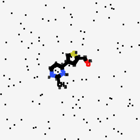 Cc1nccc(-c2csc(C=O)c2)n1